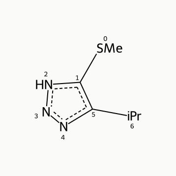 CSc1[nH]nnc1C(C)C